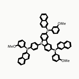 COc1cccc(N(c2ccc(-n3c4ccc(N(c5cccc(OC)c5)c5ccc6ccccc6c5)cc4c4cc(N(c5cccc(OC)c5)c5ccc6ccccc6c5)ccc43)cc2)c2ccc3ccccc3c2)c1